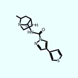 CC1CC2CCN1C[C@@H]2NC(=O)n1cc(-c2ccsc2)cn1